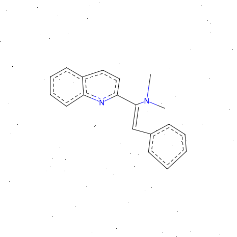 CN(C)C(=Cc1ccccc1)c1ccc2ccccc2n1